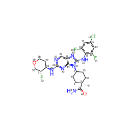 C[C@]1(C(N)=O)CC[C@@H](n2c(Nc3c(F)cc(Cl)cc3F)nc3cnc(N[C@@H]4CCOC[C@H]4F)nc32)CC1